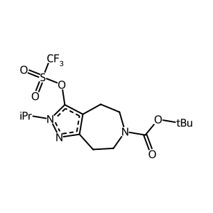 CC(C)n1nc2c(c1OS(=O)(=O)C(F)(F)F)CCN(C(=O)OC(C)(C)C)CC2